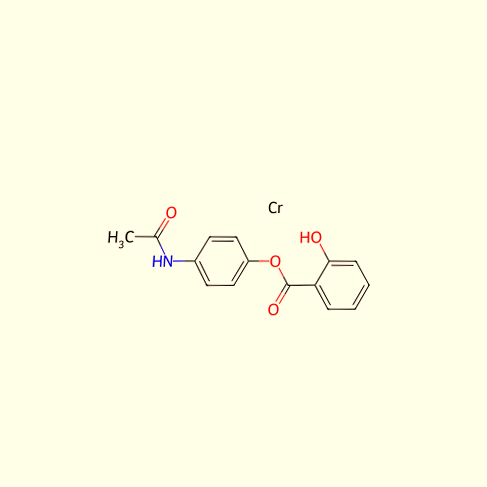 CC(=O)Nc1ccc(OC(=O)c2ccccc2O)cc1.[Cr]